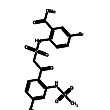 COC(=O)c1cc(Br)ccc1NS(=O)(=O)CC(=O)c1ccc(Br)cc1NS(C)(=O)=O